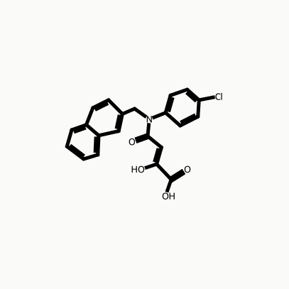 O=C(O)C(O)=CC(=O)N(Cc1ccc2ccccc2c1)c1ccc(Cl)cc1